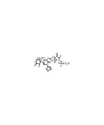 CCOC(=O)C1=C(CN2C[C@@H](C(=O)N(C)CCC(C)(C)C(=O)O)C(F)(F)C2)NC(c2nccs2)=N[C@H]1c1cccc(F)c1C